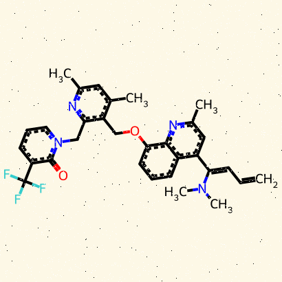 C=C/C=C(/c1cc(C)nc2c(OCc3c(C)cc(C)nc3Cn3cccc(C(F)(F)F)c3=O)cccc12)N(C)C